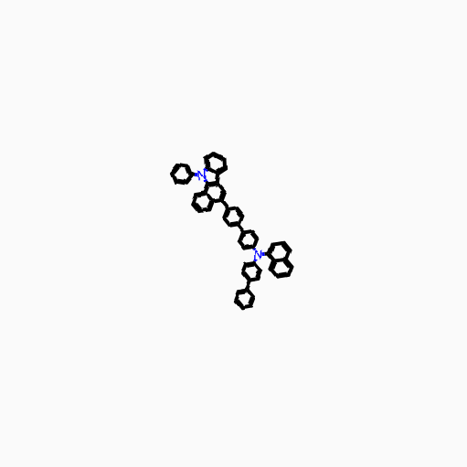 c1ccc(-c2ccc(N(c3ccc(-c4ccc(-c5cc6c7ccccc7n(-c7ccccc7)c6c6ccccc56)cc4)cc3)c3cccc4ccccc34)cc2)cc1